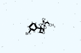 CCS(=O)(=O)OC1(c2cccc(Br)c2)COC1